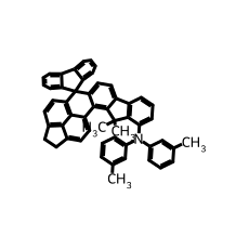 Cc1cccc(N(c2cccc(C)c2)c2cccc3c2C(C)(C)c2c-3ccc3c2-c2ccc4c5c(ccc(c25)C32c3ccccc3-c3ccccc32)CC4)c1